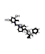 C=C1/C(=C\C=C2/CCC[C@]3(C)[C@@H]([C@H](C)CC4(S(=C)(=O)c5ccccc5)CC4)CC[C@@H]23)C[C@@H](O)C[C@@H]1O